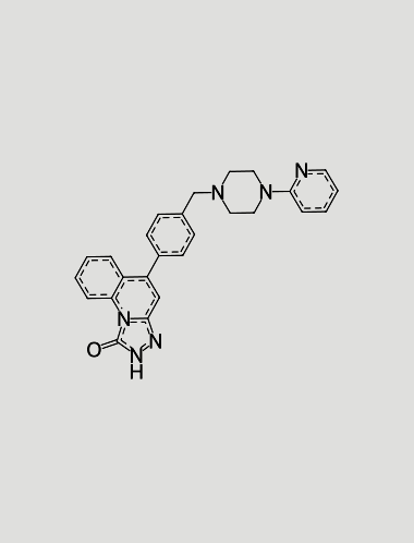 O=c1[nH]nc2cc(-c3ccc(CN4CCN(c5ccccn5)CC4)cc3)c3ccccc3n12